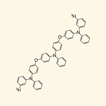 [3H]c1cccc(N(c2ccccc2)c2ccc(Oc3ccc(N(c4ccccc4)c4ccc(Oc5ccc(N(c6ccccc6)c6cccc([3H])c6)cc5)cc4)cc3)cc2)c1